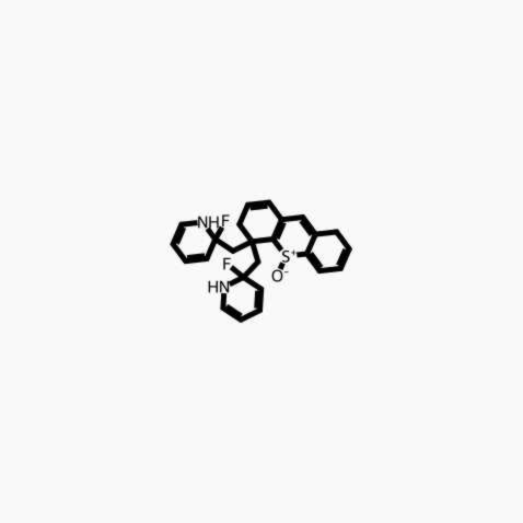 [O-][S+]1C2=CC=CCC2=CC2=C1C(CC1(F)C=CC=CN1)(CC1(F)C=CC=CN1)CC=C2